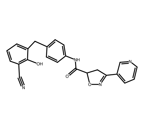 N#Cc1cccc(Cc2ccc(NC(=O)C3CC(c4cccnc4)=NO3)cc2)c1O